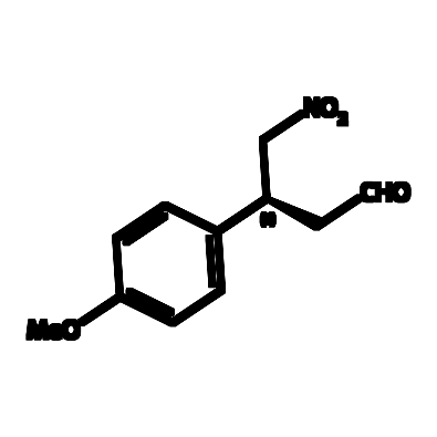 COc1ccc([C@H](CC=O)C[N+](=O)[O-])cc1